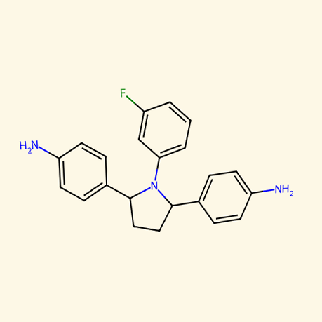 Nc1ccc(C2CCC(c3ccc(N)cc3)N2c2cccc(F)c2)cc1